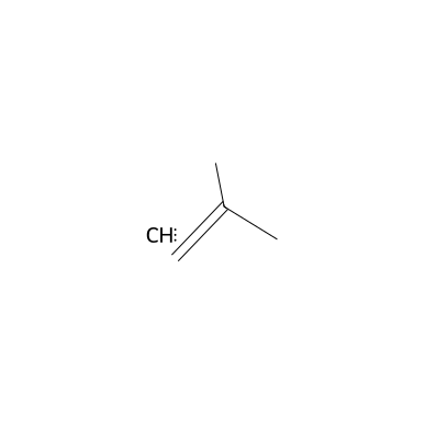 C=C(C)C.[CH]